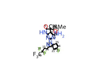 CNC(=O)C1(C)C(=O)Nc2nc(-n3nc(CCC(F)(F)C(F)(F)F)c4cc(F)ccc43)nc(N)c21